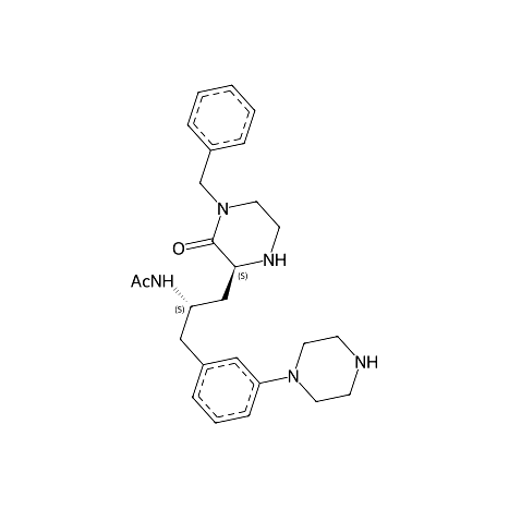 CC(=O)N[C@@H](Cc1cccc(N2CCNCC2)c1)C[C@@H]1NCCN(Cc2ccccc2)C1=O